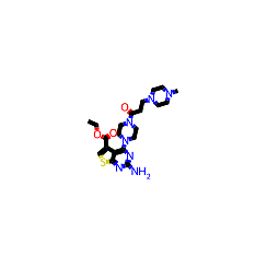 CCOC(=O)c1csc2nc(N)nc(N3CCN(C(=O)CCN4CCN(C)CC4)CC3)c12